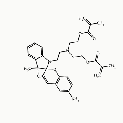 C=C(C)C(=O)OCCN(CCOC(=O)C(=C)C)CCN1c2ccccc2C(C)(C)C12C=Cc1cc(N)ccc1O2